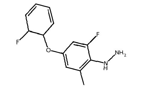 Cc1cc(OC2C=CC=CC2F)cc(F)c1NN